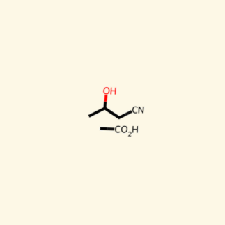 CC(=O)O.CC(O)CC#N